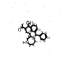 CC(=O)C(CCC1CNCCCN1C(c1ccccc1)c1ccccc1)C(=O)O